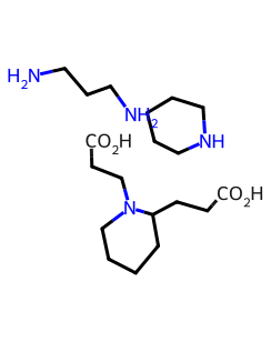 C1CCNCC1.NCCCN.O=C(O)CCC1CCCCN1CCC(=O)O